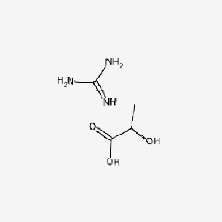 CC(O)C(=O)O.N=C(N)N